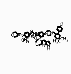 CC1(C)CCC(CN2CCN(c3ccc(C(=O)NS(=O)(=O)c4ccc(NCC5CCOCC5)c([N+](=O)[O-])c4)c(N4CCOCc5nc6[nH]ccc6cc54)c3)CC2)=C(c2ccc(Cl)cc2)C1